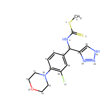 CSC(=S)NC(c1ccc(N2CCOCC2)c(F)c1)c1c[nH]nn1